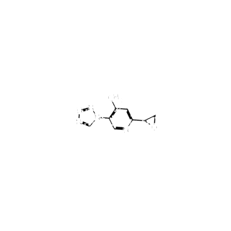 Cc1cc(C2CO2)ncc1-n1cnnn1